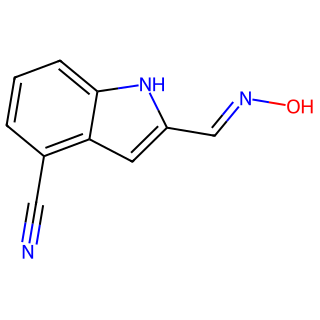 N#Cc1cccc2[nH]c(/C=N/O)cc12